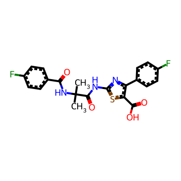 CC(C)(NC(=O)c1ccc(F)cc1)C(=O)Nc1nc(-c2ccc(F)cc2)c(C(=O)O)s1